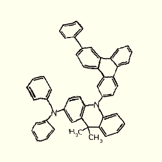 CC1(C)c2ccccc2N(c2ccc3c4ccccc4c4cc(-c5ccccc5)ccc4c3c2)c2ccc(N(c3ccccc3)c3ccccc3)cc21